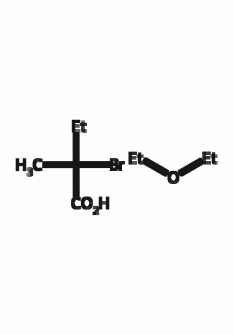 CCC(C)(Br)C(=O)O.CCOCC